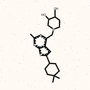 Cc1nc(CN2CCC(O)C(O)C2)c2cc(C3CCC(C)(C)CC3)sc2n1